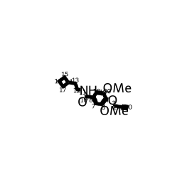 C#CCOc1c(OC)cc(C(=O)NCCC2CCC2)cc1OC